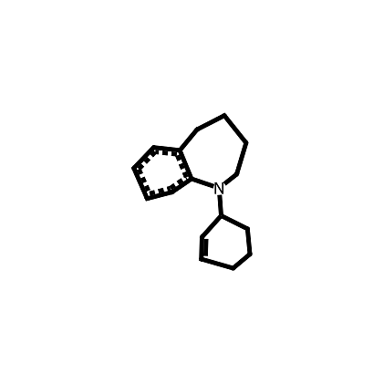 C1=CC(N2CCCCc3ccccc32)CCC1